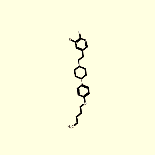 CCCCCOc1ccc([C@H]2CC[C@H](CCc3cnc(F)c(F)c3)CC2)cc1